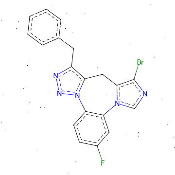 Fc1ccc2c(c1)-n1cnc(Br)c1Cc1c(Cc3ccccc3)nnn1-2